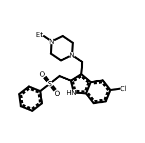 CCN1CCN(Cc2c(CS(=O)(=O)c3ccccc3)[nH]c3ccc(Cl)cc23)CC1